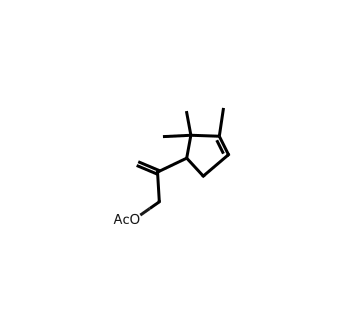 C=C(COC(C)=O)C1CC=C(C)C1(C)C